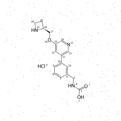 Cl.O=C(O)NCc1cccc(-c2cncc(OC[C@@H]3CCN3)c2)c1